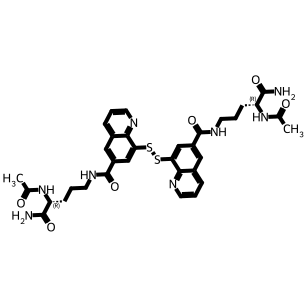 CC(=O)N[C@H](CCCNC(=O)c1cc(SSc2cc(C(=O)NCCC[C@@H](NC(C)=O)C(N)=O)cc3cccnc23)c2ncccc2c1)C(N)=O